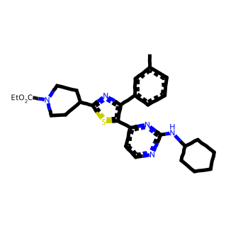 CCOC(=O)N1CCC(c2nc(-c3cccc(C)c3)c(-c3ccnc(NC4CCCCC4)n3)s2)CC1